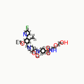 CCOc1cc(-c2ccc(F)cn2)c(C2CC2)cc1CN1CCC2(CC1)CN(c1ccc(S(=O)(=O)NCCOCCO)cc1)C(=O)O2